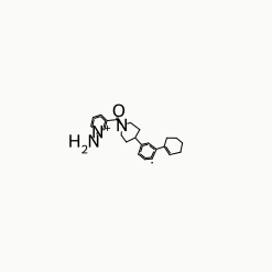 N[n+]1cccc(C(=O)N2CCC(c3cc[c]c(C4=CCCCC4)c3)CC2)c1